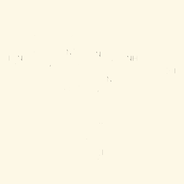 NC1CCCN(c2nc(NCCO)nc3c2oc2ccc(Cl)cc23)C1